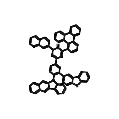 c1ccc2cc(C3N=C(c4ccc(-n5c6ccccc6c6cc7ccccc7cc65)c(-c5ccc6sc7ccccc7c6c5)c4)N=C(c4cccc5c6ccccc6c6ccccc6c45)N3)ccc2c1